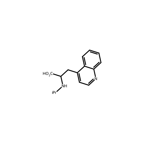 CC(C)NC(Cc1ccnc2ccccc12)C(=O)O